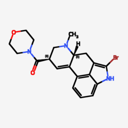 CN1C[C@H](C(=O)N2CCOCC2)C=C2c3cccc4[nH]c(Br)c(c34)C[C@H]21